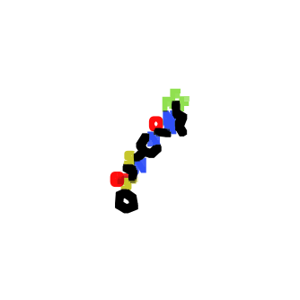 Cc1cc(C(F)(F)F)nn1CC(=O)N1CCC(c2nc(C[S+]([O-])C3CCCCC3)cs2)CC1